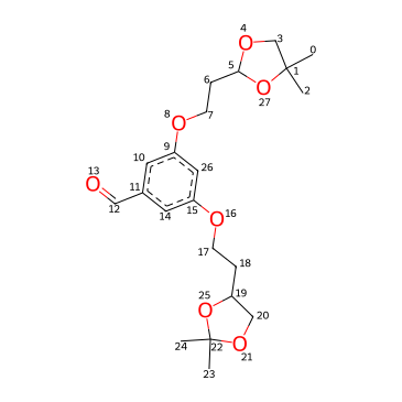 CC1(C)COC(CCOc2cc(C=O)cc(OCCC3COC(C)(C)O3)c2)O1